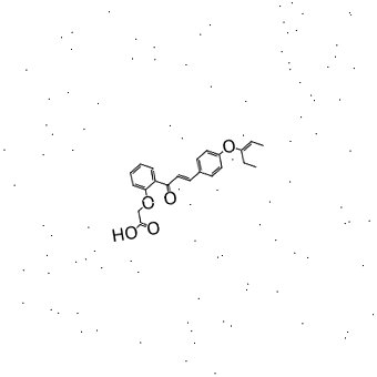 C/C=C(\CC)Oc1ccc(/C=C/C(=O)c2ccccc2OCC(=O)O)cc1